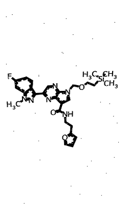 Cn1nc(-c2cnc3c(n2)c(C(=O)NCCc2ccco2)cn3COCC[Si](C)(C)C)c2ccc(F)cc21